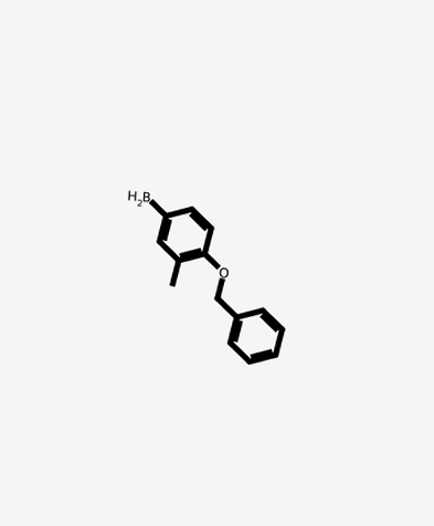 Bc1ccc(OCc2ccccc2)c(C)c1